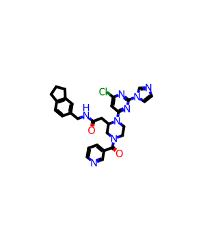 O=C(CC1CN(C(=O)c2cccnc2)CCN1c1cc(Cl)nc(-n2ccnc2)n1)NCc1ccc2c(c1)CCC2